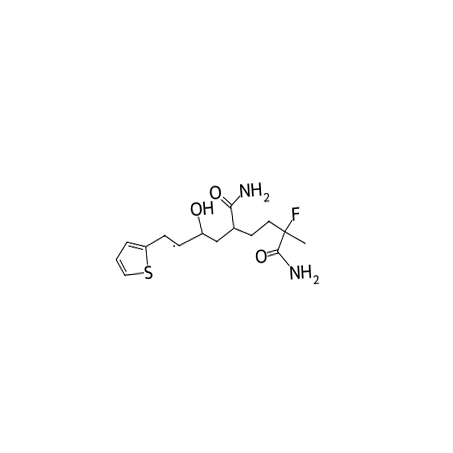 CC(F)(CCC(CC(O)[CH]Cc1cccs1)C(N)=O)C(N)=O